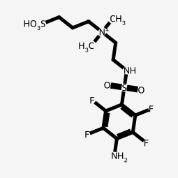 C[N+](C)(CCCS(=O)(=O)O)CCNS(=O)(=O)c1c(F)c(F)c(N)c(F)c1F